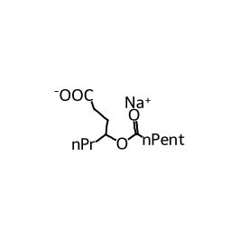 CCCCCC(=O)OC(CCC)CCC(=O)[O-].[Na+]